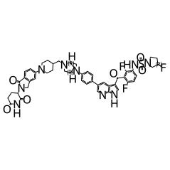 O=C1CCC(N2Cc3cc(N4CCC(CN5C[C@H]6C[C@@H]5CN6c5ccc(-c6cnc7[nH]cc(C(=O)c8c(F)ccc(NS(=O)(=O)N9CC[C@@H](F)C9)c8F)c7c6)cc5)CC4)ccc3C2=O)C(=O)N1